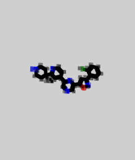 N#CC1(c2cc(-c3cncc(-c4cc(-c5ccccc5F)no4)n3)ccn2)CCNCC1